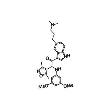 COc1cc(NC(C(=O)c2c[nH]c3ccc(CCCN(C)C)cc23)c2c(C)noc2C)cc(OC)c1